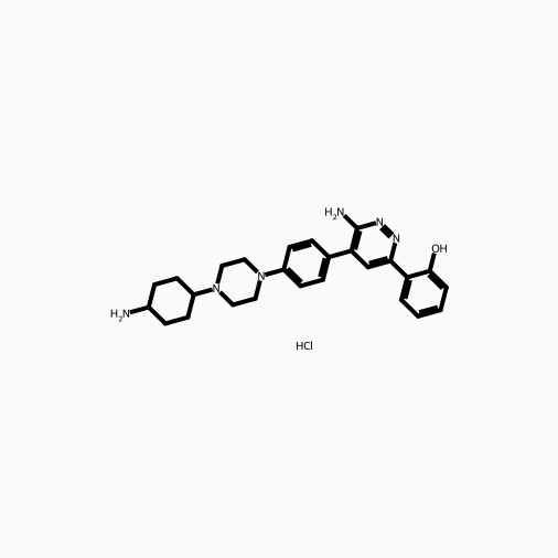 Cl.Nc1nnc(-c2ccccc2O)cc1-c1ccc(N2CCN(C3CCC(N)CC3)CC2)cc1